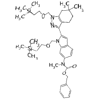 CN(C(=O)OCc1ccccc1)c1ccc2cc(-c3nn(COCC[Si](C)(C)C)c4c3CCC(C)(C)C4)n(COCC[Si](C)(C)C)c2c1